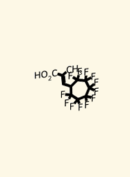 CC(=CC1C(F)(F)C(F)(F)C(F)(F)C(F)(F)C(F)(F)C1(F)F)C(=O)O